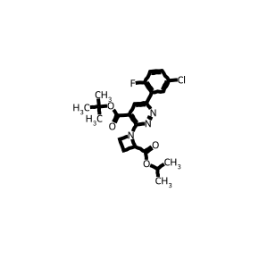 CC(C)OC(=O)C1CCN1c1nnc(-c2cc(Cl)ccc2F)cc1C(=O)OC(C)(C)C